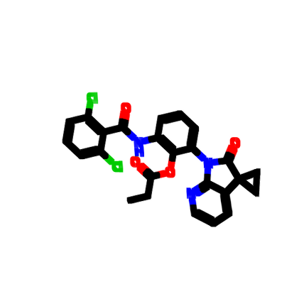 CCC(=O)Oc1c(NC(=O)c2c(Cl)cccc2Cl)cccc1N1C(=O)C2(CC2)c2cccnc21